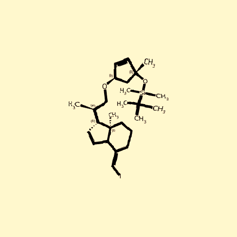 C[C@@H](CO[C@H]1C=C[C@](C)(O[Si](C)(C)C(C)(C)C)C1)[C@H]1CCC2C(=CI)CCC[C@@]21C